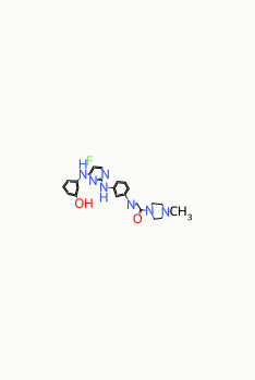 CN1CCN(C(=O)C=Nc2cccc(Nc3ncc(F)c(Nc4cccc(O)c4)n3)c2)CC1